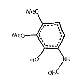 COc1ccc(NC=O)c(O)c1OC